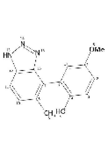 COc1ccc(O)c(-c2c(C)ccc3[nH]nnc23)c1